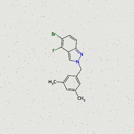 Cc1cc(C)cc(Cn2cc3c(F)c(Br)ccc3n2)c1